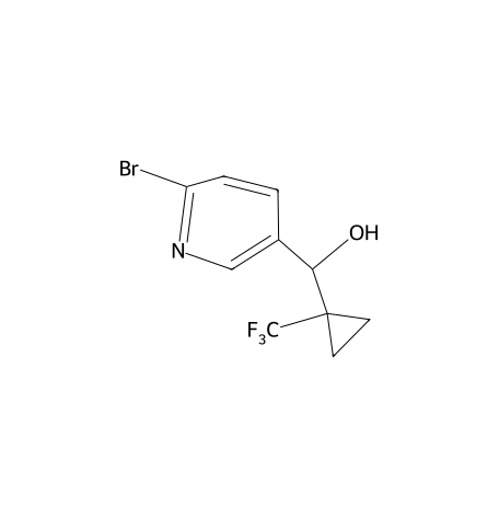 OC(c1ccc(Br)nc1)C1(C(F)(F)F)CC1